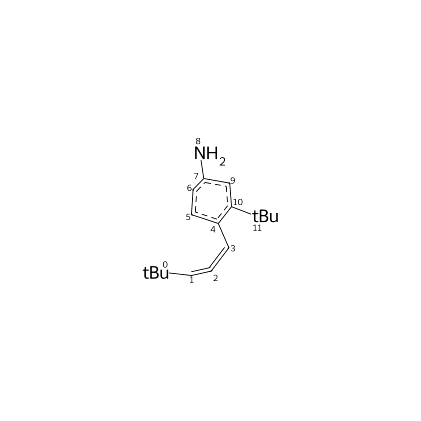 CC(C)(C)C=C=Cc1ccc(N)cc1C(C)(C)C